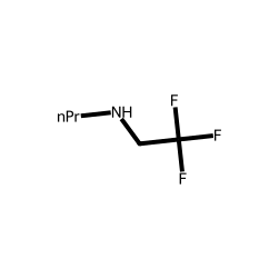 [CH2]CCNCC(F)(F)F